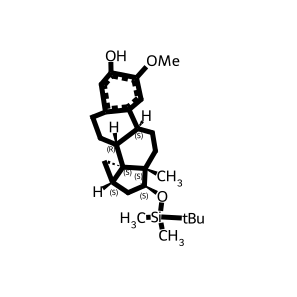 COc1cc2c(cc1O)CC[C@@H]1[C@@H]2CC[C@]2(C)[C@@H](O[Si](C)(C)C(C)(C)C)C[C@@H]3C[C@]312